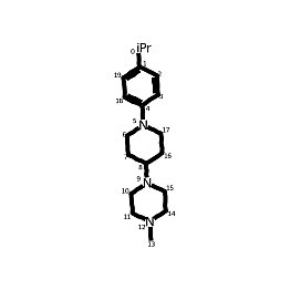 CC(C)c1ccc(N2CCC(N3CCN(C)CC3)CC2)cc1